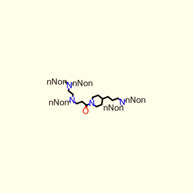 CCCCCCCCCN(CCCCCCCCC)CCCC1CCN(C(=O)CCN(CCCCCCCCC)CCN(CCCCCCCCC)CCCCCCCCC)CC1